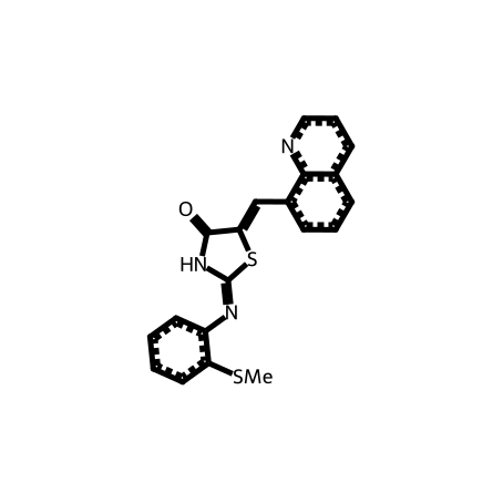 CSc1ccccc1N=C1NC(=O)C(=Cc2cccc3cccnc23)S1